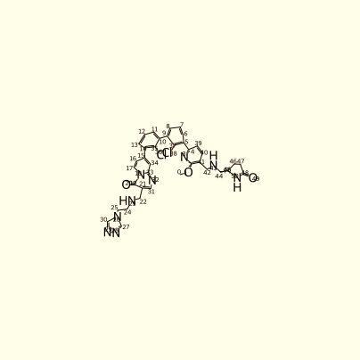 COc1nc(-c2cccc(-c3cccc(-c4ccn5c(=O)c(CNCCn6cnnc6)cnc5c4)c3Cl)c2Cl)ccc1CNC[C@H]1CCC(=O)N1